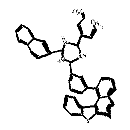 C=C/C=C(\C=C/C)C1NC(c2cccc(-c3cccc4ccc5sc6ccccc6c5c34)c2)NC(c2ccc3ccccc3c2)N1